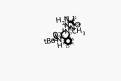 Cn1c(N2CC[C@H](N[S+]([O-])C(C)(C)C)c3ccccc3C2)nc(N)c(I)c1=O